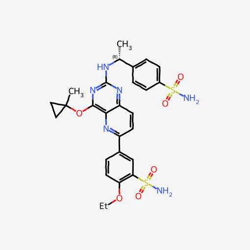 CCOc1ccc(-c2ccc3nc(N[C@H](C)c4ccc(S(N)(=O)=O)cc4)nc(OC4(C)CC4)c3n2)cc1S(N)(=O)=O